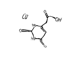 O=C(O)c1cc(=O)[nH]c(=O)[nH]1.[Cu]